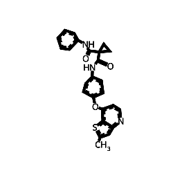 Cc1cc2nccc(Oc3ccc(NC(=O)C4(C(=O)Nc5ccccc5)CC4)cc3)c2s1